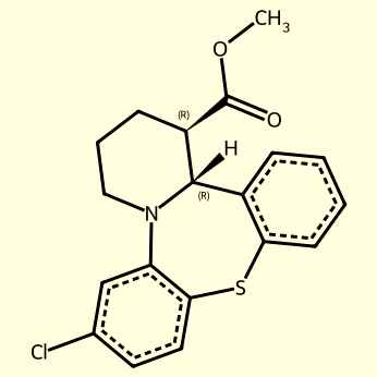 COC(=O)[C@@H]1CCCN2c3cc(Cl)ccc3Sc3ccccc3[C@@H]12